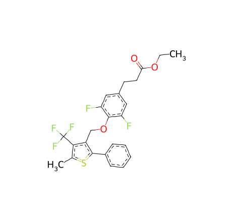 CCOC(=O)CCc1cc(F)c(OCc2c(-c3ccccc3)sc(C)c2C(F)(F)F)c(F)c1